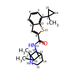 CC1(c2cccc3cc(C(=O)NC4C5CCN(CC5)C4(C)C)sc23)CC1